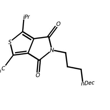 CCCCCCCCCCCCCN1C(=O)c2c(C)sc(C(C)C)c2C1=O